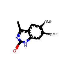 COc1cc2[nH]c(=O)nc(C)c2cc1OC